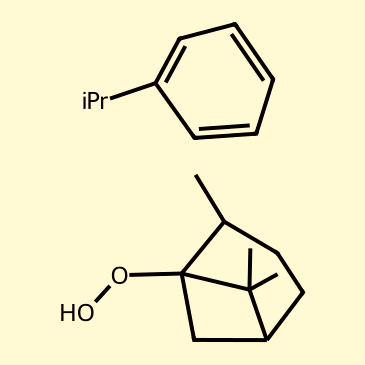 CC(C)c1ccccc1.CC1CCC2CC1(OO)C2(C)C